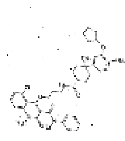 CCN(C(=O)c1c(OCCCNC(=O)[C@H]2CC[C@](C#N)(c3ccc(OC)c(OC4CCCC4)c3)CC2)c2c(Cl)cccc2n(C)c1=O)c1ccccc1